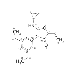 C=CC1OC(NC2CC2)=C(c2cc(CC)cc(CC)c2)C1=O